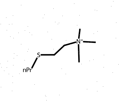 CCCSCC[N+](C)(C)C